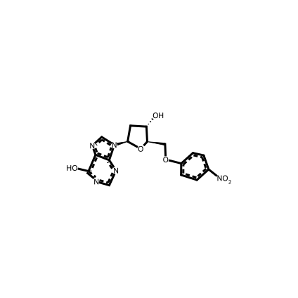 O=[N+]([O-])c1ccc(OC[C@H]2O[C@@H](n3cnc4c(O)ncnc43)C[C@@H]2O)cc1